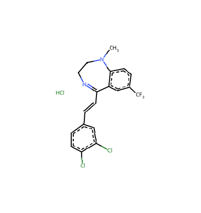 CN1CCN=C(C=Cc2ccc(Cl)c(Cl)c2)c2cc(C(F)(F)F)ccc21.Cl